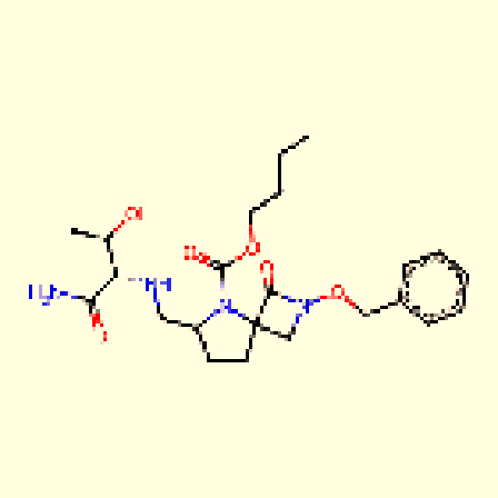 CCCCOC(=O)N1C(CN[C@H](C(N)=O)[C@@H](C)O)CCC12CN(OCc1ccccc1)C2=O